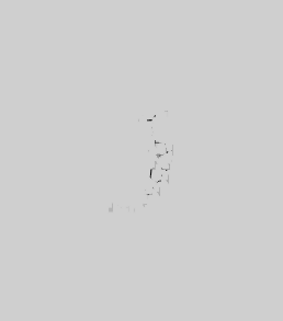 CCCCCOC(=O)Nc1ccn([C@@H]2O[C@@H](COC(=O)C(C)C)[CH]C2(F)F)c(=O)n1